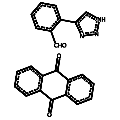 O=C1c2ccccc2C(=O)c2ccccc21.O=Cc1ccccc1-c1c[nH]nn1